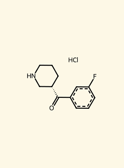 Cl.O=C(c1cccc(F)c1)[C@H]1CCCNC1